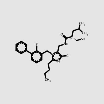 CCCCc1nc(Cl)c(CNC(=O)[C@@H](CS)CC(C)C)n1Cc1cccc(-c2ccccc2)c1F